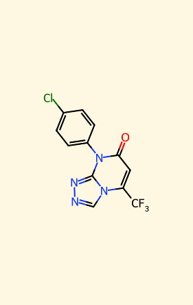 O=c1cc(C(F)(F)F)n2cnnc2n1-c1ccc(Cl)cc1